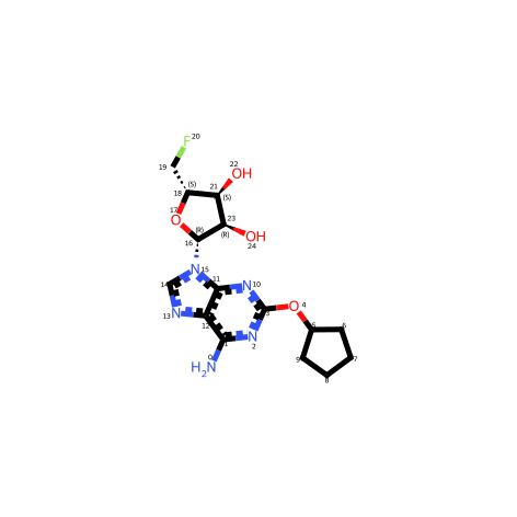 Nc1nc(OC2CCCC2)nc2c1ncn2[C@@H]1O[C@H](CF)[C@@H](O)[C@H]1O